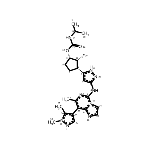 Cc1nc(Nc2cc([C@@H]3CC[C@H](OC(=O)NC(C)C)[C@@H]3F)[nH]n2)n2ccnc2c1-c1cnn(C)c1C